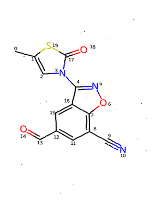 Cc1cn(-c2noc3c(C#N)cc(C=O)cc23)c(=O)s1